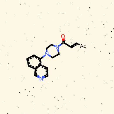 CC(=O)C=CC(=O)N1CCN(c2cccc3cnccc23)CC1